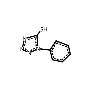 Sc1nnnn1-c1c[c]ccc1